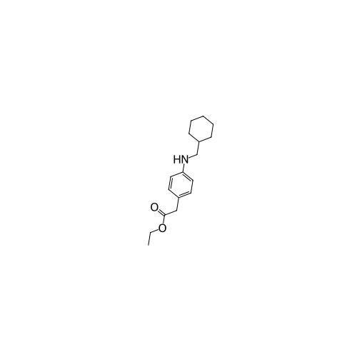 CCOC(=O)Cc1ccc(NCC2CCCCC2)cc1